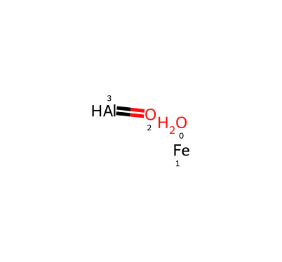 O.[Fe].[O]=[AlH]